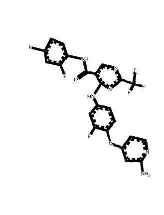 Nc1cc(Oc2ccc(Nc3nc(C(F)(F)F)ncc3C(=O)Nc3ccc(F)cc3F)cc2F)ccn1